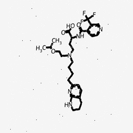 CC(C)OCCN(CCCCc1ccc2c(n1)NCCC2)CCC(NC(=O)c1ccncc1C(F)(F)F)C(=O)O